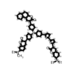 CCN(C)c1ccc2cc(-c3ccc(N(c4ccc(-c5ccc(-c6ccc(-c7cc8ccc(N(CC)CC)cc8oc7=O)s6)s5)cc4)c4ccc(-c5cc6c(ccc7ccccc76)oc5=O)cc4)cc3)c(=O)oc2c1